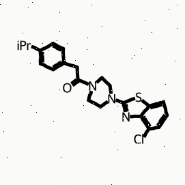 CC(C)c1ccc(CC(=O)N2CCN(c3nc4c(Cl)cccc4s3)CC2)cc1